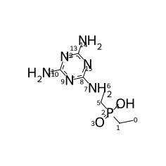 CCP(=O)(O)CC.Nc1nc(N)nc(N)n1